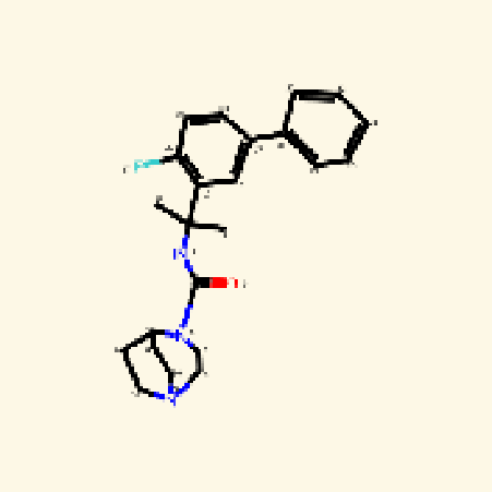 CC(C)(NC(=O)N1CCN2CCC1CC2)c1cc(-c2ccccc2)ccc1F